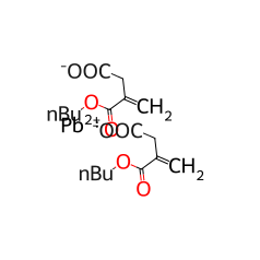 C=C(CC(=O)[O-])C(=O)OCCCC.C=C(CC(=O)[O-])C(=O)OCCCC.[Pb+2]